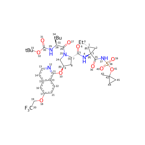 CC[C@@H]1C[C@]1(NC(=O)[C@@H]1C[C@@H](Oc2nccc3cc(OCC(F)(F)F)ccc23)CN1C(=O)[C@@H](NC(=O)OC(C)(C)C)C(C)(C)C)C(=O)NS(=O)(=O)OC1(C)CC1